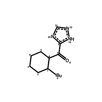 CCC(C)C1CCCCC1C(=O)c1ncn[nH]1